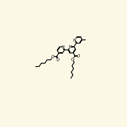 CCCCCCOC(=O)c1ccnc(-c2cc(C(=O)OCCCCCC)cc(-c3cc(C)ccn3)n2)c1